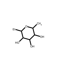 CCC1OC(C)C(O)C(O)C1O